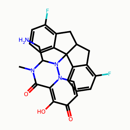 CN1C(=O)c2c(O)c(=O)ccn2N(C23c4cccc(F)c4CC2Cc2c(F)cccc23)C1CN